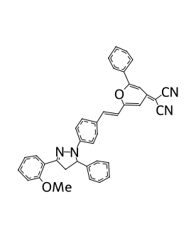 COc1ccccc1C1=NN(c2ccc(C=CC3=CC(=C(C#N)C#N)C=C(c4ccccc4)O3)cc2)C(c2ccccc2)C1